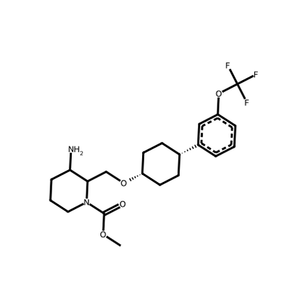 COC(=O)N1CCCC(N)C1CO[C@H]1CC[C@@H](c2cccc(OC(F)(F)F)c2)CC1